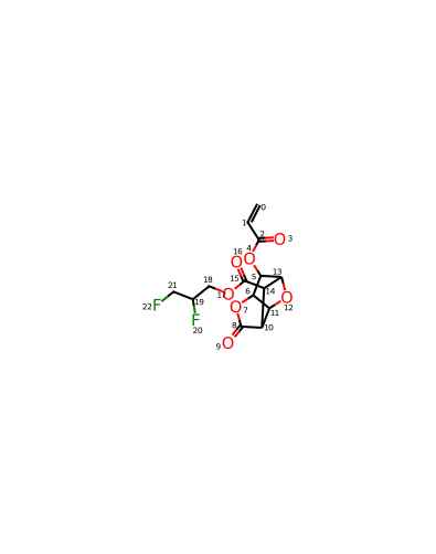 C=CC(=O)OC1C2OC(=O)C3C2OC1C3C(=O)OCC(F)CF